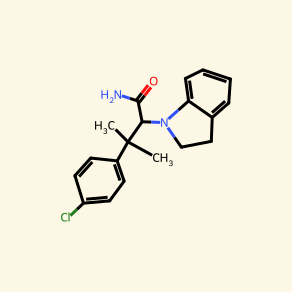 CC(C)(c1ccc(Cl)cc1)C(C(N)=O)N1CCc2ccccc21